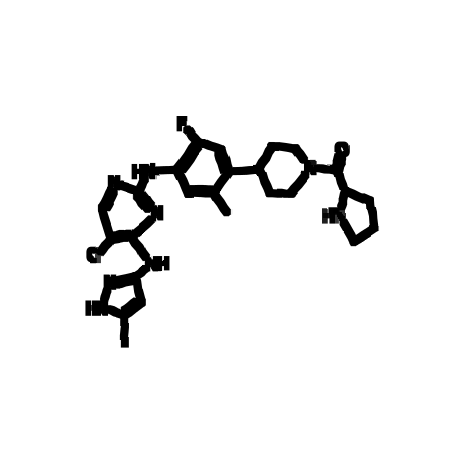 Cc1cc(Nc2nc(Nc3cc(C)c(C4CCN(C(=O)C5CCCN5)CC4)cc3F)ncc2Cl)n[nH]1